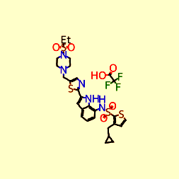 CCS(=O)(=O)N1CCN(Cc2cnc(-c3cc4cccc(NS(=O)(=O)c5sccc5CC5CC5)c4[nH]3)s2)CC1.O=C(O)C(F)(F)F